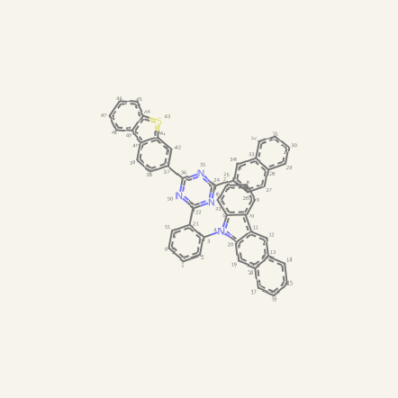 c1ccc(-n2c3ccccc3c3cc4ccccc4cc32)c(-c2nc(-c3ccc4ccccc4c3)nc(-c3ccc4c(c3)sc3ccccc34)n2)c1